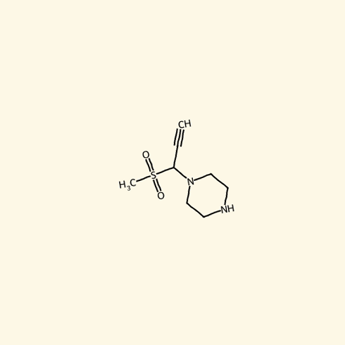 C#CC(N1CCNCC1)S(C)(=O)=O